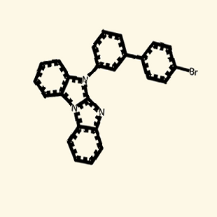 Brc1ccc(-c2cccc(-n3c4ccccc4n4c5ccccc5nc34)c2)cc1